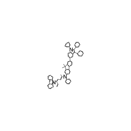 C=C/C(=C\C=C(/C)N(c1ccccc1)c1ccc2c(c1)C(C)(C)c1cc(-c3ccc4c(c3)c(-c3ccccc3)c(-c3ccccc3)n4-c3ccccc3)ccc1-2)n1c2ccccc2c2ccccc21